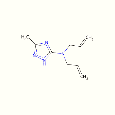 C=CCN(CC=C)c1nc(C)n[nH]1